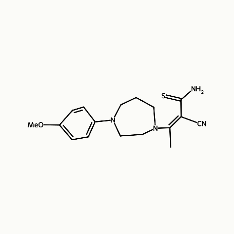 COc1ccc(N2CCCN(C(C)=C(C#N)C(N)=S)CC2)cc1